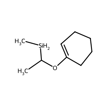 C[SiH2]C(C)OC1=CCCCC1